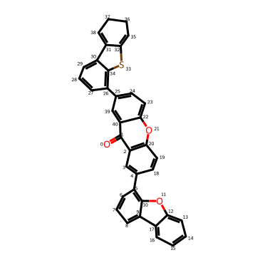 O=c1c2cc(-c3cccc4c3oc3ccccc34)ccc2oc2ccc(-c3cccc4c5c(sc34)=CCCC=5)cc12